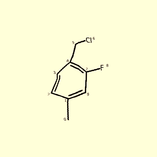 Cc1ccc(CCl)c(F)c1